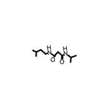 CC(C)CCNC(=O)CC(=O)NC(C)C